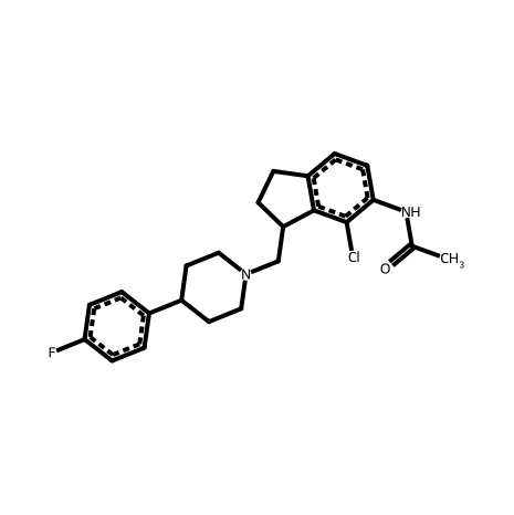 CC(=O)Nc1ccc2c(c1Cl)C(CN1CCC(c3ccc(F)cc3)CC1)CC2